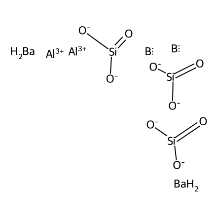 O=[Si]([O-])[O-].O=[Si]([O-])[O-].O=[Si]([O-])[O-].[Al+3].[Al+3].[B].[B].[BaH2].[BaH2]